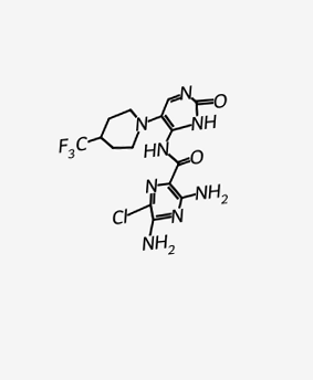 Nc1nc(N)c(C(=O)Nc2[nH]c(=O)ncc2N2CCC(C(F)(F)F)CC2)nc1Cl